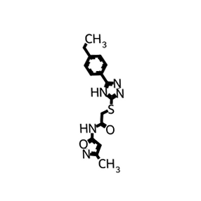 CCc1ccc(-c2nnc(SCC(=O)Nc3cc(C)no3)[nH]2)cc1